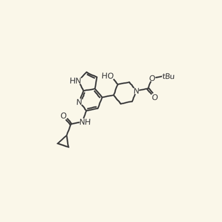 CC(C)(C)OC(=O)N1CCC(c2cc(NC(=O)C3CC3)nc3[nH]ccc23)C(O)C1